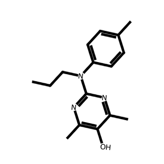 CCCN(c1ccc(C)cc1)c1nc(C)c(O)c(C)n1